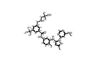 CNc1cc(-n2nc(C)cc2Nc2cc(NC(=O)c3cc(CNCC(C)(C)O)cc(C(F)(F)F)c3)ccc2C)ncn1